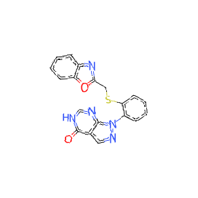 O=c1[nH]cnc2c1cnn2-c1ccccc1SCc1nc2ccccc2o1